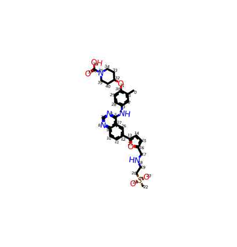 Cc1cc(Nc2ncnc3ccc(-c4ccc(CNCCS(C)(=O)=O)o4)cc23)ccc1OC1CCN(C(=O)O)CC1